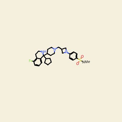 CNS(=O)(=O)c1ccc(N2CC(CN3CCC(C4(C5CCCC5)NCCc5c(F)cccc54)CC3)C2)cc1